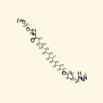 C=C(N/N=N\C)c1ccc(OCCCCCCCCCCCCCCCC(=O)NCCOCCOCC)cc1